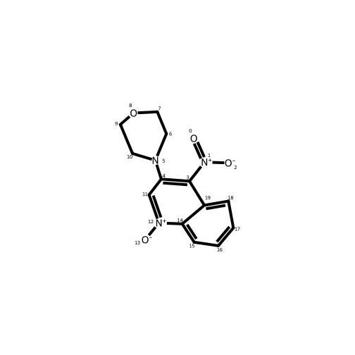 O=[N+]([O-])c1c(N2CCOCC2)c[n+]([O-])c2ccccc12